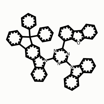 c1ccc(C2(c3ccccc3)c3ccccc3-c3cc4c5ccccc5n(-c5nc(-c6cccc7c6oc6ccccc67)nc(-n6c7ccccc7c7ccccc76)n5)c4cc32)cc1